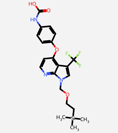 C[Si](C)(C)CCOCn1cc(C(F)(F)F)c2c(Oc3ccc(NC(=O)O)cc3)ccnc21